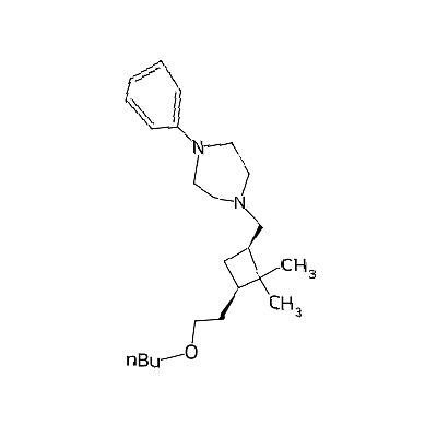 CCCCOCC[C@H]1C[C@@H](CN2CCN(c3ccccc3)CC2)C1(C)C